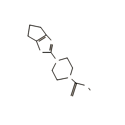 CC(C)(C)OC(=O)N1CCN(c2nc3c(s2)CCC3)CC1